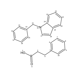 O=C(O)CCc1ccccc1.c1ccc(Cn2ccc3ccccc32)cc1